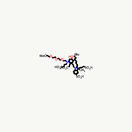 COCCOCCOCCOCCN(CCCS(=O)(=O)O)c1ccc(C(=C\CC(C)(C)C)/C=C/C=C2\N(CCCCCC(=O)O)c3ccc(S(=O)(=O)O)cc3C2(C)CCCS(=O)(=O)O)c(O)c1